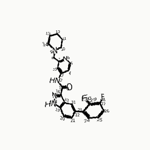 O=C(Nc1ccnc(CN2CCCCC2)c1)c1n[nH]c2ccc(-c3cccc(F)c3F)cc12